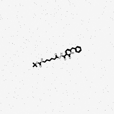 CC(C)(C)OC(=O)NCCCCCC(=O)ONC(=O)c1ccc(Cc2ccccc2)[nH]c1=O